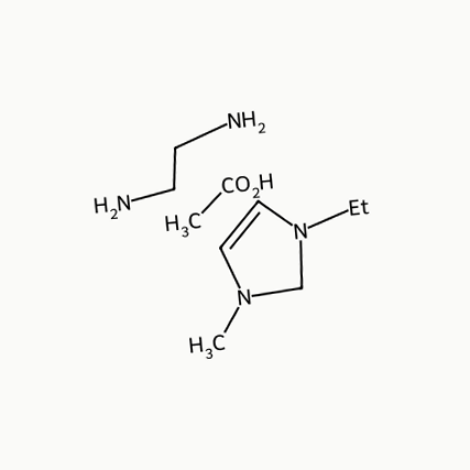 CC(=O)O.CCN1C=CN(C)C1.NCCN